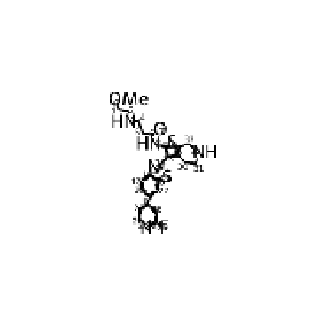 COCCNCCC(=O)Nc1sc2c(c1-c1nc3ccc(-c4ccnc(F)c4)cc3s1)CCNC2